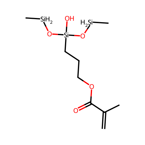 C=C(C)C(=O)OCCC[Si](O)(O[SiH2]C)O[SiH2]C